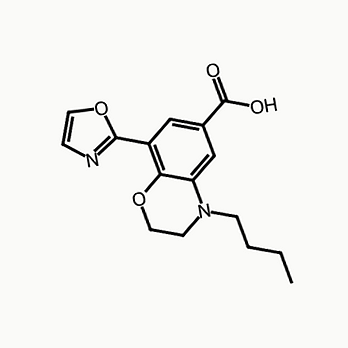 CCCCN1CCOc2c(-c3ncco3)cc(C(=O)O)cc21